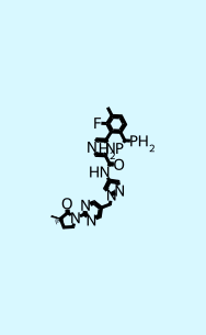 Cc1ccc(C(P)P)c(-c2cncc(C(=O)Nc3cnn(Cc4cnc(N5CC[C@@H](C)C5=O)nc4)c3)n2)c1F